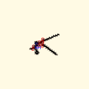 CCCCCCCCCCCCCCCC(=O)OCC(COC(=O)CCCCCCCCCCCCCCC)OC(=O)[C@@H]1CCCN1C(=O)[C@H](C)N[C@@H](CCc1ccccc1)C(=O)OCC